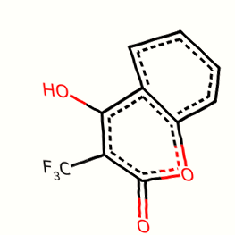 O=c1oc2ccccc2c(O)c1C(F)(F)F